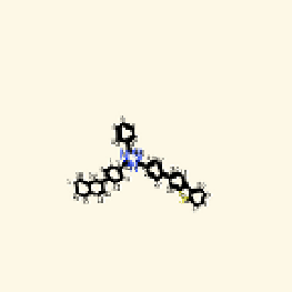 c1ccc(-c2nc(-c3ccc(-c4ccc5ccccc5c4)cc3)nc(-c3ccc(-c4ccc5c(c4)sc4ccccc45)cc3)n2)cc1